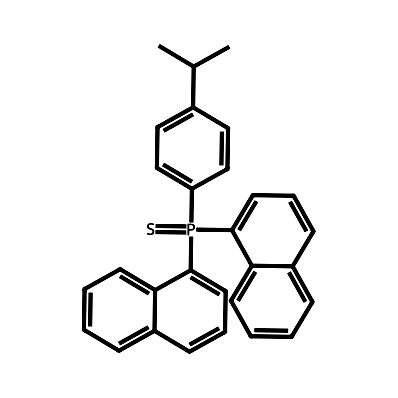 CC(C)c1ccc(P(=S)(c2cccc3ccccc23)c2cccc3ccccc23)cc1